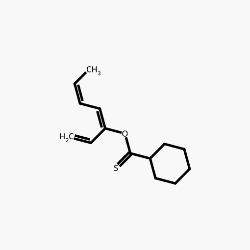 C=C/C(=C\C=C/C)OC(=S)C1CCCCC1